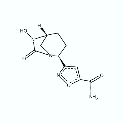 NC(=O)c1cc([C@@H]2CC[C@@H]3CN2C(=O)N3O)no1